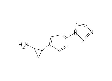 NC1CC1c1ccc(-n2ccnc2)cc1